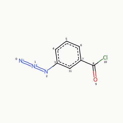 [N-]=[N+]=Nc1cccc(C(=O)Cl)c1